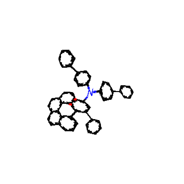 c1ccc(-c2ccc(N(c3ccc(-c4ccccc4)cc3)c3ccc(-c4cccc5ccc6ccc7ccccc7c6c45)c(-c4ccccc4)c3)cc2)cc1